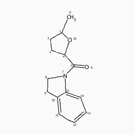 CC1CCC(C(=O)N2CCc3ccccc32)O1